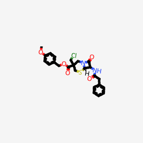 COc1ccc(COC(=O)C2(CCl)CS[C@@H]3C(NC(=O)Cc4ccccc4)C(=O)N3C2)cc1